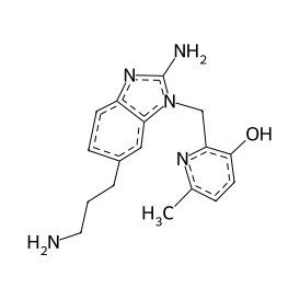 Cc1ccc(O)c(Cn2c(N)nc3ccc(CCCN)cc32)n1